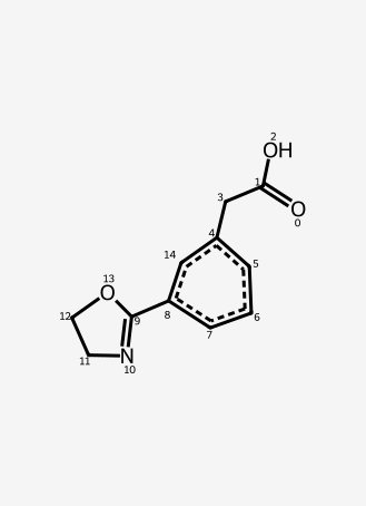 O=C(O)Cc1cccc(C2=NCCO2)c1